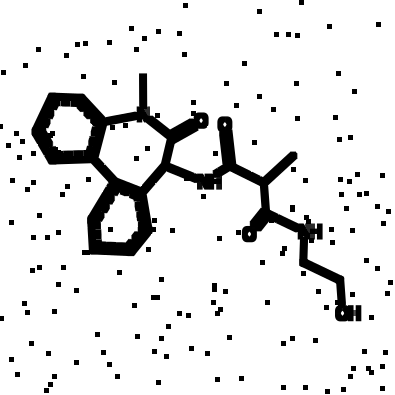 CC(C(=O)NCCO)C(=O)NC1C(=O)N(C)c2ccccc2-c2ccccc21